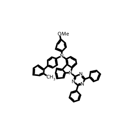 COc1ccc(N(c2ccc(-c3ccccc3C)cc2)c2cccc3c2c2ccccc2n3-c2nc(-c3ccccc3)nc(-c3ccccc3)n2)cc1